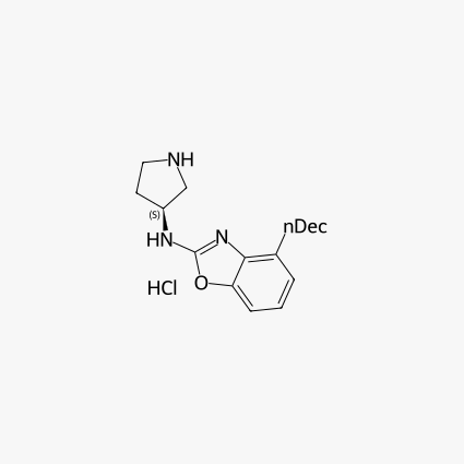 CCCCCCCCCCc1cccc2oc(N[C@H]3CCNC3)nc12.Cl